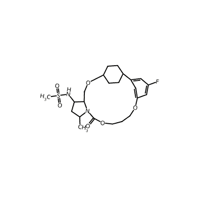 CC1CC(NS(C)(=O)=O)C2COC3CCC(CC3)c3cc(F)cc(c3)OCCCOC(=O)N12